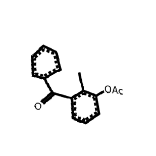 CC(=O)Oc1cccc(C(=O)c2ccccc2)c1C